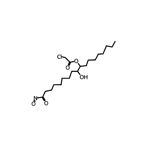 CCCCCCCCC(OC(=O)CCl)C(O)CCCCCCCC(=O)N=O